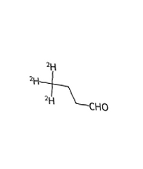 [2H]C([2H])([2H])CCC=O